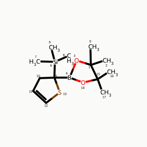 CC1(C)OB(C2([Si](C)(C)C)CC=CS2)OC1(C)C